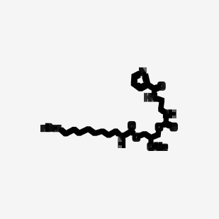 CCCCCCCCCCCCCCCCCCNC(=O)OCC(COC(=O)NCCNC(=O)c1cccnc1)OC